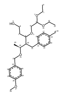 CCOC(COC(CCO)C(Cc1ccc(F)cc1)[C@H](C)OCc1ccc(OC)cc1)OCC